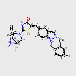 Cc1ccc(Cn2ncc3cc(/C=C4\SC(N5C[C@@H]6C[C@H]5CN6C)=NC4=O)ccc32)c(C(F)(F)F)c1